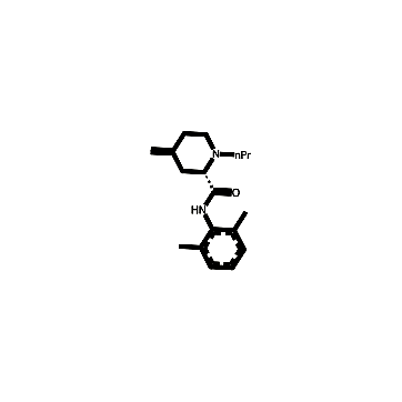 C=C1CCN(CCC)[C@H](C(=O)Nc2c(C)cccc2C)C1